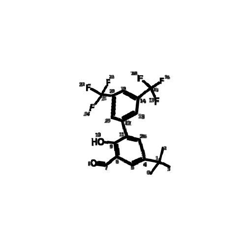 CC(C)(C)c1cc(C=O)c(O)c(-c2cc(C(F)(F)F)cc(C(F)(F)F)c2)c1